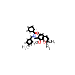 COc1c(CN(Cc2ccc(C)cc2)C(=O)C2CCCCC2)ccc2c1OC(C)(C)C=C2